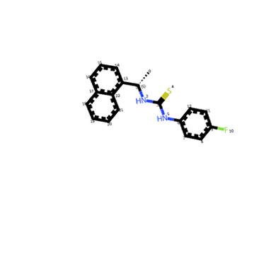 C[C@H](NC(=S)Nc1ccc(F)cc1)c1cccc2ccccc12